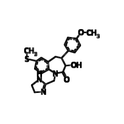 COc1ccc(C2Cc3cc(SC)ccc3N(CC3=NCCN3)C(=O)C2O)cc1